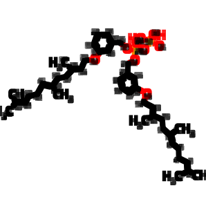 CC(C)=CCC/C=C(\C)CC/C(C)=C/COc1cccc(COP(=O)(OCc2cccc(OC/C=C(\C)CC/C(C)=C/CCC=C(C)C)c2)OP(=O)(O)O)c1